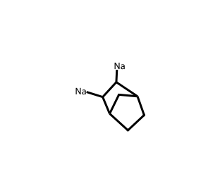 [Na][CH]1C2CCC(C2)[CH]1[Na]